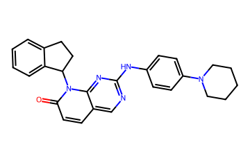 O=c1ccc2cnc(Nc3ccc(N4CCCCC4)cc3)nc2n1C1CCc2ccccc21